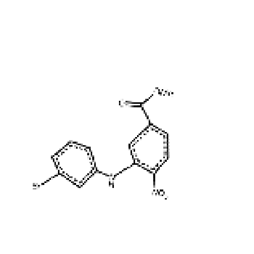 COC(=O)c1ccc([N+](=O)[O-])c(Nc2cccc(Br)c2)c1